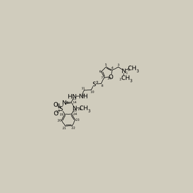 CN(C)Cc1ccc(CSCCNNC2=NS(=O)(=O)c3ccccc3N2C)o1